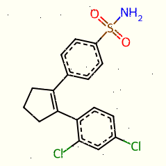 NS(=O)(=O)c1ccc(C2=C(c3ccc(Cl)cc3Cl)CCC2)cc1